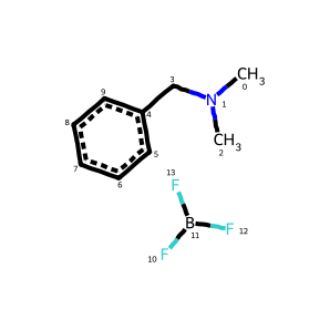 CN(C)Cc1ccccc1.FB(F)F